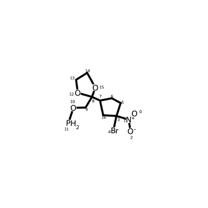 O=[N+]([O-])C1(Br)CCC(C2(COP)OCCO2)C1